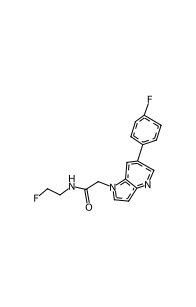 O=C(Cn1ccc2ncc(-c3ccc(F)cc3)cc21)NCCF